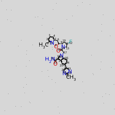 Cc1cccc(CC(=O)[C@H]2C[C@@H](F)CN2C(=O)Cn2cc(C(N)=O)c3cc(-c4cnc(C)nc4)ccc32)n1